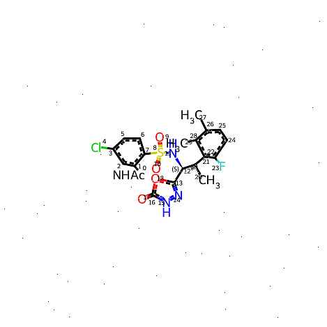 CC(=O)Nc1cc(Cl)ccc1S(=O)(=O)N[C@H](c1n[nH]c(=O)o1)[C@H](C)c1c(F)ccc(C)c1C